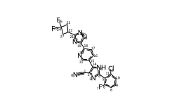 N#Cc1nc(-c2c(F)cccc2Cl)[nH]c1-c1ccc(-c2nc(C3CC(F)(F)C3)no2)nc1